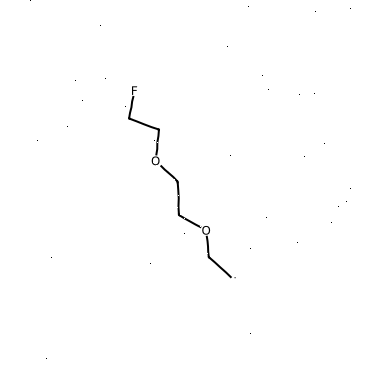 [CH2]COCCOCCF